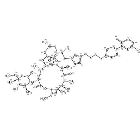 CCC1OC(=O)[C@H](C)[C@H](OC2C[C@@](C)(OC)[C@@H](O)[C@H](C)O2)[C@H](C)[C@@H](OC2C[C@@H](N(C)Cc3cn(CCCCc4ccc(-n5cc(C)ccc5=O)cc4)nn3)C[C@@H](C)O2)[C@@](C)(OC)C[C@@H](C)C(=O)C(C)[C@@H](O)[C@]1(C)O